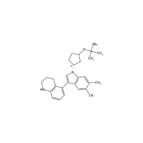 Cc1cc2c(cc1C#N)c(-c1cccc3c1CCCN3)cn2[C@@H]1CCC(O[Si](C)(C)C(C)(C)C)C1